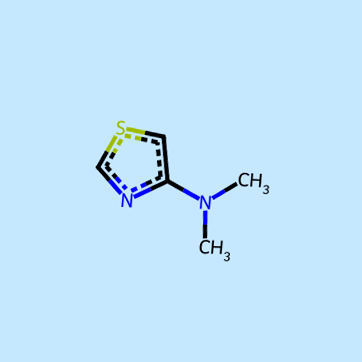 CN(C)c1cscn1